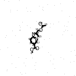 COC(=O)c1ccc2nc(COC(C)=O)cn2c1